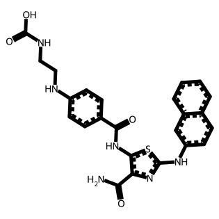 NC(=O)c1nc(Nc2ccc3ccccc3c2)sc1NC(=O)c1ccc(NCCNC(=O)O)cc1